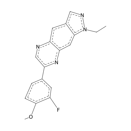 CCn1ncc2cc3ncc(-c4ccc(OC)c(F)c4)nc3cc21